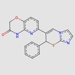 O=C1COc2ccc(C3=Cn4ccnc4SC3c3ccccc3)nc2N1